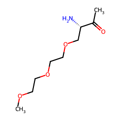 COCCOCCOC[C@H](N)C(C)=O